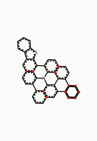 c1ccc(-c2ccccc2-c2c(-c3ccccc3)cccc2N(c2ccccc2-c2ccccc2)c2ccccc2-c2cccc3c2sc2ccccc23)cc1